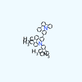 CC1(C)c2ccccc2-c2ccc(N(c3ccc(-c4ccc(-n5c6ccccc6c6cccc(-c7ccccc7)c65)cc4)cc3)c3cccc4c3-c3ccccc3C4(C)C)cc21